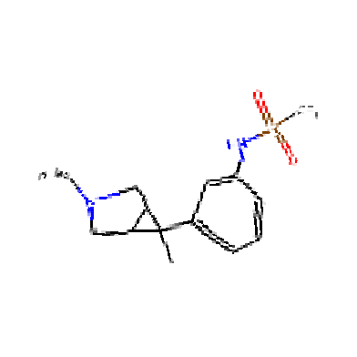 CCCCCCN1CC2C(C1)C2(C)c1cccc(NS(=O)(=O)C(F)(F)F)c1